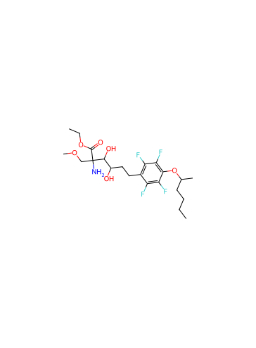 CCCCC(C)Oc1c(F)c(F)c(CCC(O)C(O)C(N)(COC)C(=O)OCC)c(F)c1F